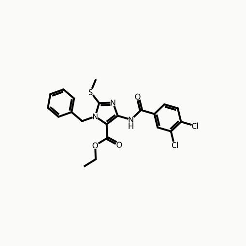 CCOC(=O)c1c(NC(=O)c2ccc(Cl)c(Cl)c2)nc(SC)n1Cc1ccccc1